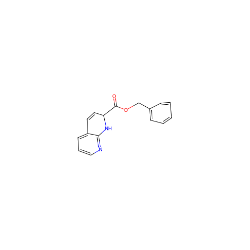 O=C(OCc1ccccc1)C1C=Cc2cccnc2N1